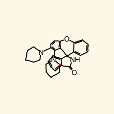 O=C1NC2(c3ccccc3Oc3ccc(N4CCCCC4)c(N4CCCCC4)c32)c2ccccc21